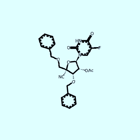 CC(=O)O[C@H]1[C@H](n2cc(F)c(=O)[nH]c2=O)O[C@](C#N)(COCc2ccccc2)[C@H]1OCc1ccccc1